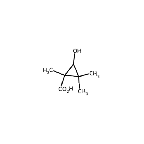 CC1(C)C(O)C1(C)C(=O)O